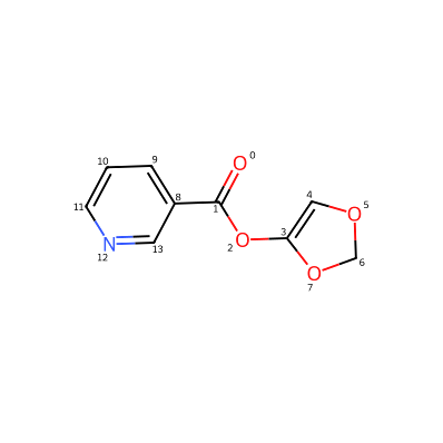 O=C(OC1=COCO1)c1cccnc1